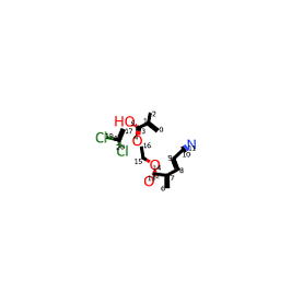 C=C(C)C(=O)O.C=C(C=CC#N)C(=O)OCC.C=C(Cl)Cl